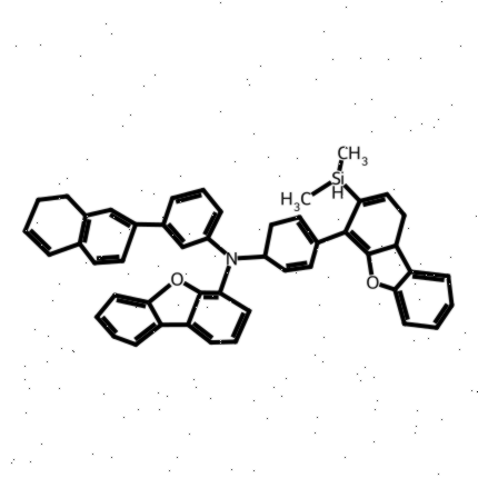 C[SiH](C)C1=CCC2C(=C1C1=CCC(N(c3cccc(-c4ccc5c(c4)CCC=C5)c3)c3cccc4c3oc3ccccc34)C=C1)Oc1ccccc12